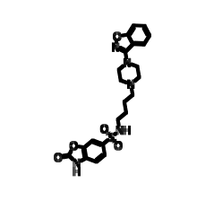 O=c1[nH]c2ccc(S(=O)(=O)NCCCCN3CCN(c4noc5ccccc45)CC3)cc2o1